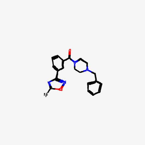 O=C(c1cccc(-c2noc(C(F)(F)F)n2)c1)N1CCN(Cc2ccccc2)CC1